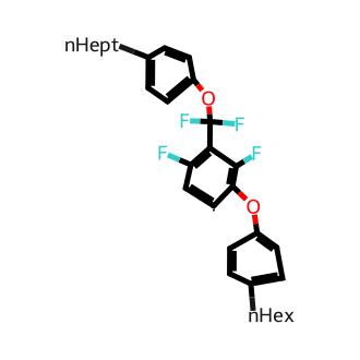 CCCCCCCc1ccc(OC(F)(F)c2c(F)c[c]c(Oc3ccc(CCCCCC)cc3)c2F)cc1